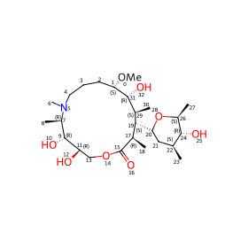 CO[C@H]1CCCN(C)[C@H](C)[C@@H](O)[C@H](O)COC(=O)[C@H](C)[C@@H](C2C[C@H](C)[C@@H](O)[C@H](C)O2)[C@H](C)[C@H]1O